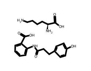 NCCCC[C@H](N)C(=O)O.O=C(CCc1ccc(O)cc1)Nc1ccccc1C(=O)O